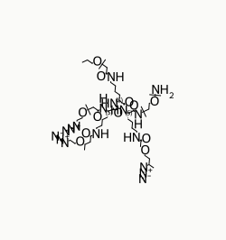 CCCOC(C)(C)CC(=O)NCCCC[C@H](NC(=O)[C@H](CCCCNC(=O)CC(C)OCCN=[N+]=[N-])NC(=O)CC(C)(C)OCCN=[N+]=[N-])C(=O)N[C@@H](CCCCNC(=O)COCCC(C)N=[N+]=[N-])C(=O)NC(C)(C)CCOC(C)(C)N